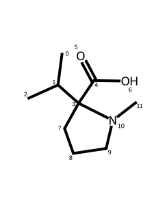 CC(C)C1(C(=O)O)CCCN1C